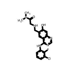 CN(C)C(=O)CNCc1cc2c(Nc3cccc(Cl)c3F)ncnc2cc1O